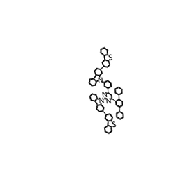 c1ccc(-c2ccc(-c3ccccc3)c(-c3cc(-c4cccc(-n5c6ccccc6c6ccc(-c7ccc8sc9ccccc9c8c7)cc65)c4)nc(-n4c5ccccc5c5ccc(-c6ccc7sc8ccccc8c7c6)cc54)n3)c2)cc1